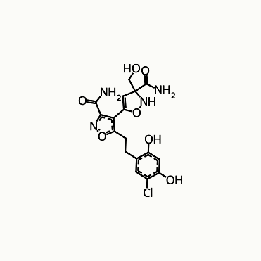 NC(=O)c1noc(CCc2cc(Cl)c(O)cc2O)c1C1=CC(CO)(C(N)=O)NO1